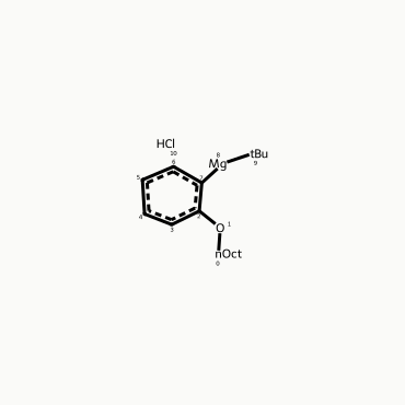 CCCCCCCCOc1cccc[c]1[Mg][C](C)(C)C.Cl